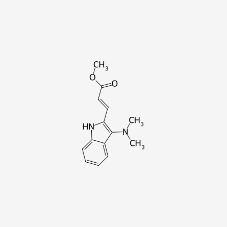 COC(=O)C=Cc1[nH]c2ccccc2c1N(C)C